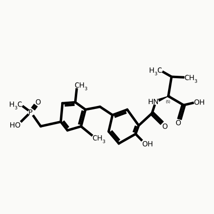 Cc1cc(CP(C)(=O)O)cc(C)c1Cc1ccc(O)c(C(=O)N[C@H](C(=O)O)C(C)C)c1